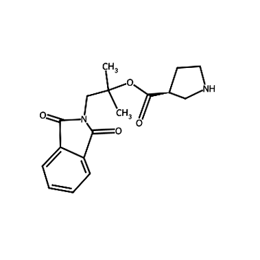 CC(C)(CN1C(=O)c2ccccc2C1=O)OC(=O)[C@H]1CCNC1